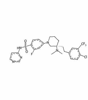 CN(C)[C@]1(CCc2ccc(Cl)c(C(F)(F)F)c2)CCCN(c2ccc(S(=O)(=O)Nc3ccncn3)c(F)c2)C1